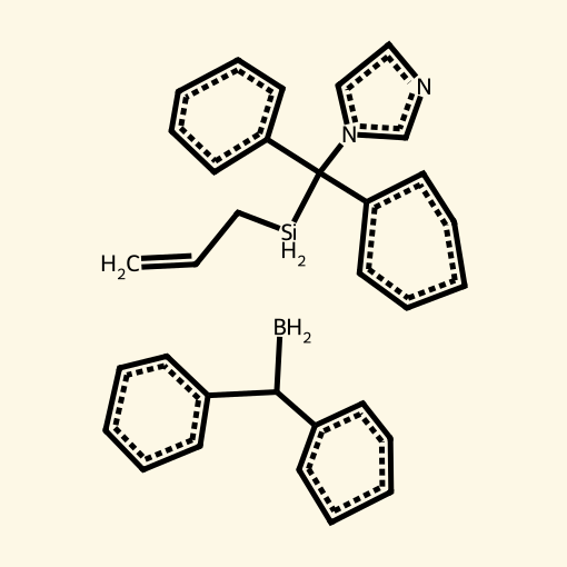 BC(c1ccccc1)c1ccccc1.C=CC[SiH2]C(c1ccccc1)(c1ccccc1)n1ccnc1